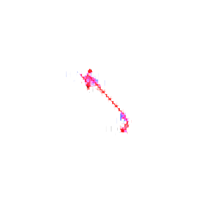 Cc1ccc(NC(=O)[C@H](CCCCN)NC(=O)[C@H](Cc2ccccc2)NC(=O)COCC(=O)NCCOCCOCCOCCOCCOCCOCCOCCOCCn2cc(CNC(=O)C3CCC(CN4C(=O)CC(C)C4=O)CC3)nn2)cc1